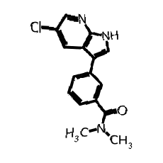 CN(C)C(=O)c1cccc(-c2c[nH]c3ncc(Cl)cc23)c1